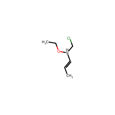 CC=C[SiH](CCl)OCC